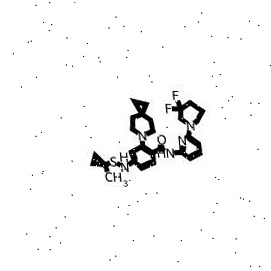 CC1(SNc2ccc(C(=O)Nc3cccc(N4CCCC(F)(F)C4)n3)c(N3CCC4(CC3)CC4)c2)CC1